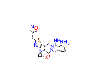 Cn1c2nc(Cc3cnoc3)sc2c2cnn(Cc3cccc(N)c3C=N)c(=O)c21